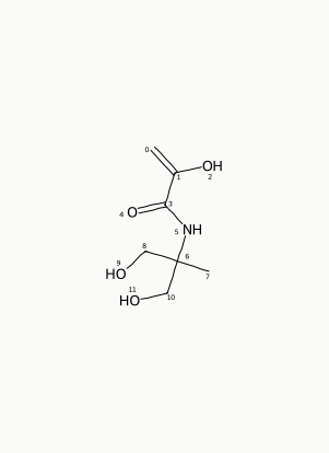 C=C(O)C(=O)NC(C)(CO)CO